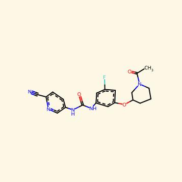 CC(=O)N1CCCC(Oc2cc(F)cc(NC(=O)Nc3ccc(C#N)nc3)c2)C1